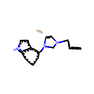 Br.C=CCN1C=CN(c2cccc3[nH]ccc23)C1